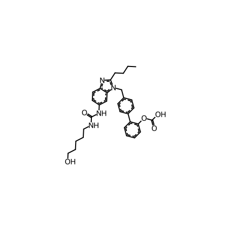 CCCCc1nc2ccc(NC(=O)NCCCCCO)cc2n1Cc1ccc(-c2ccccc2OC(=O)O)cc1